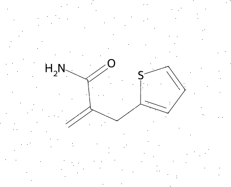 C=C(Cc1cccs1)C(N)=O